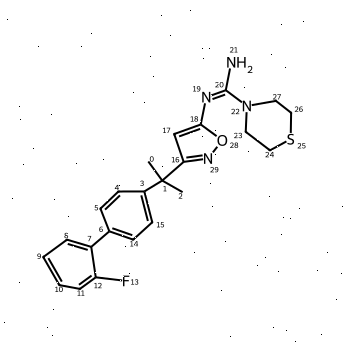 CC(C)(c1ccc(-c2ccccc2F)cc1)c1cc(/N=C(/N)N2CCSCC2)on1